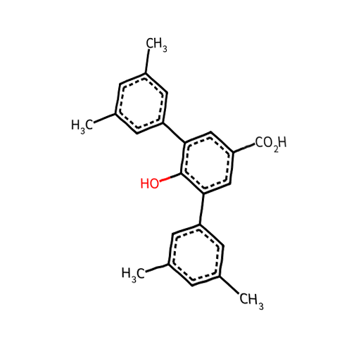 Cc1cc(C)cc(-c2cc(C(=O)O)cc(-c3cc(C)cc(C)c3)c2O)c1